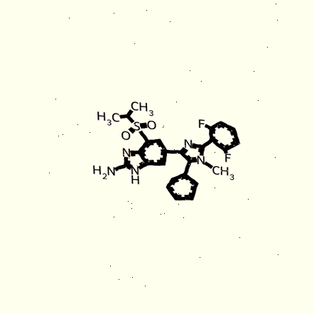 CC(C)S(=O)(=O)c1cc(-c2nc(-c3c(F)cccc3F)n(C)c2-c2ccccc2)cc2[nH]c(N)nc12